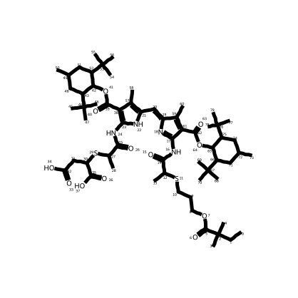 CCC(C)(C)C(=O)OCCCSC(C)C(=O)NC1=N/C(=C\c2[nH]c(NC(=O)C(C)SC(CC(=O)O)C(=O)O)c(C(=O)OC3C(C(C)(C)C)CC(C)CC3C(C)(C)C)c2C)C(C)=C1C(=O)OC1C(C(C)(C)C)CC(C)CC1C(C)(C)C